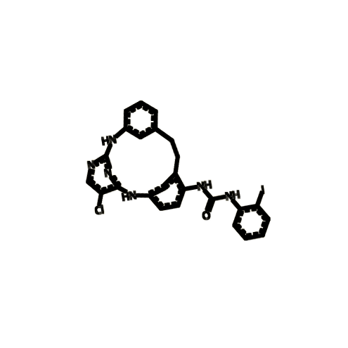 O=C(Nc1ccccc1I)Nc1ccc2cc1CCc1cccc(c1)Nc1ncc(Cl)c(n1)N2